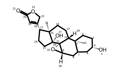 C[C@]12CC[C@H](O)CC1C[C@@H]1O[C@]13[C@@H]2CC[C@]1(C)[C@@H](C2=CC(=O)OC2)CC[C@]31O